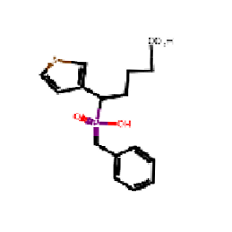 O=C(O)CCCC(c1ccsc1)P(=O)(O)Cc1ccccc1